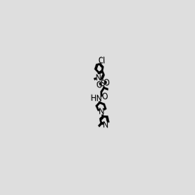 Cc1cc(N2CCC(NC(=O)CC(C)S(=O)(=O)c3cc4cc(Cl)ccc4n3C)CC2)ccn1